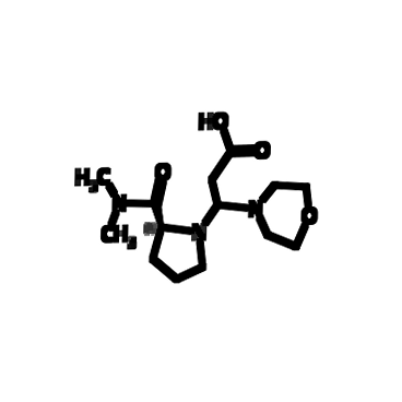 CN(C)C(=O)[C@@H]1CCCN1C(CC(=O)O)N1CCOCC1